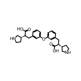 O=C(O)C(Cc1cccc(Oc2cccc(CC(C(=O)O)[C@H]3CCNC3)c2)c1)[C@H]1CCNC1